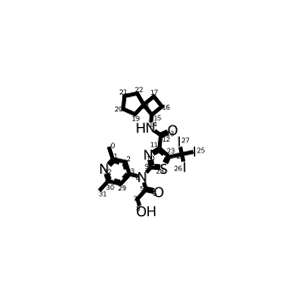 Cc1cc(N(C(=O)CO)c2nc(C(=O)NC3CCC34CCCC4)c(C(I)(I)I)s2)cc(C)n1